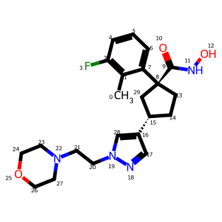 Cc1c(F)cccc1[C@]1(C(=O)NO)CC[C@H](c2cnn(CCN3CCOCC3)c2)C1